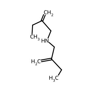 C=C(CC)CNCC(=C)CC